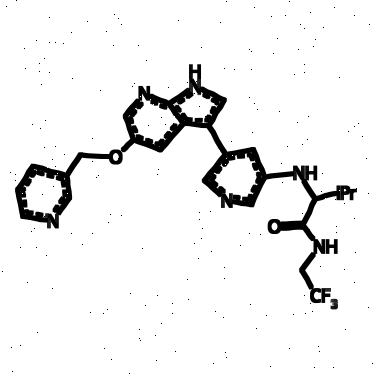 CC(C)C(Nc1cncc(-c2c[nH]c3ncc(OCc4cccnc4)cc23)c1)C(=O)NCC(F)(F)F